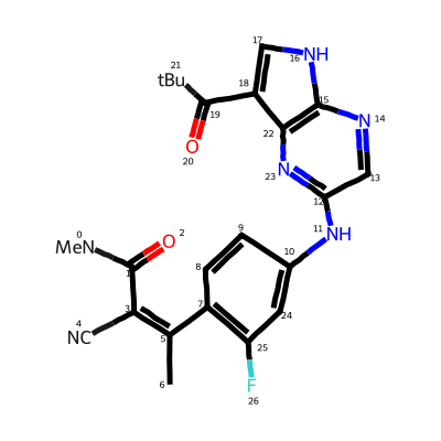 CNC(=O)/C(C#N)=C(/C)c1ccc(Nc2cnc3[nH]cc(C(=O)C(C)(C)C)c3n2)cc1F